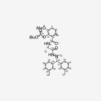 COc1ccnc(C(=O)N[C@@H](C)C(=O)NN(C)C(c2cccc(C)c2)c2cccc(C)c2)c1OC(=O)OCC(C)C